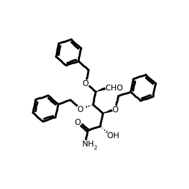 NC(=O)[C@@H](O)[C@H](OCc1ccccc1)[C@H](OCc1ccccc1)[C@H](C=O)OCc1ccccc1